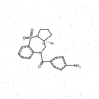 Nc1ccc(C(=O)N2C[C@@H]3CCCN3S(=O)(=O)c3ccccc32)cc1